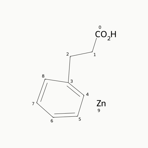 O=C(O)CCc1ccccc1.[Zn]